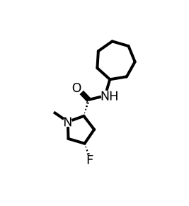 CN1C[C@@H](F)C[C@H]1C(=O)NC1CCCCCC1